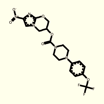 O=C(OC1COc2nc([N+](=O)[O-])cn2C1)N1CCN(c2ccc(OC(F)(F)F)cc2)CC1